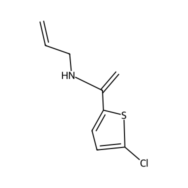 C=CCNC(=C)c1ccc(Cl)s1